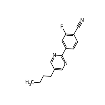 CCCCc1cnc(-c2ccc(C#N)c(F)c2)nc1